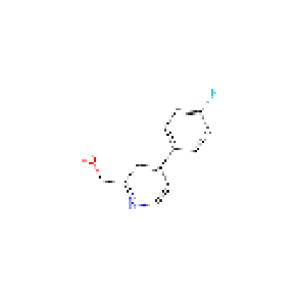 OCc1cc(-c2ccc(F)cc2)ccn1